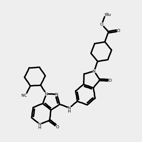 CC(C)(C)OC(=O)C1CCC(N2Cc3cc(Nc4nn(C5CCCCC5C#N)c5cc[nH]c(=O)c45)ccc3C2=O)CC1